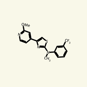 COc1cc(-c2csc(N(C)c3cccc(C(F)(F)F)c3)n2)ccn1